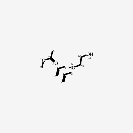 C=CC.C=CC.COC(C)=O.OCCO